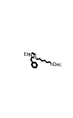 CCCCCCCCCCCCCCCCN1C=CN(CC)C1Cc1ccccc1